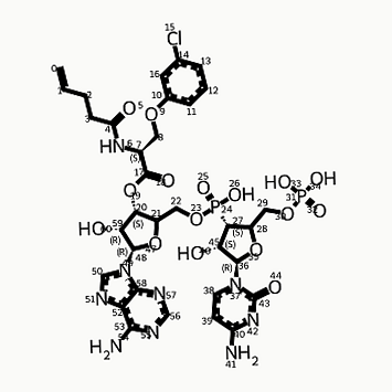 C=CCCC(=O)N[C@@H](COc1cccc(Cl)c1)C(=O)O[C@@H]1C(COP(=O)(O)[C@@H]2C(COP(=O)(O)O)O[C@@H](n3ccc(N)nc3=O)[C@@H]2O)O[C@@H](n2cnc3c(N)ncnc32)[C@@H]1O